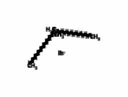 CCCCCCCCCCCCCCCCCC[N+](C)(C)CCCCCCCCCCCCCCCC.[Br-]